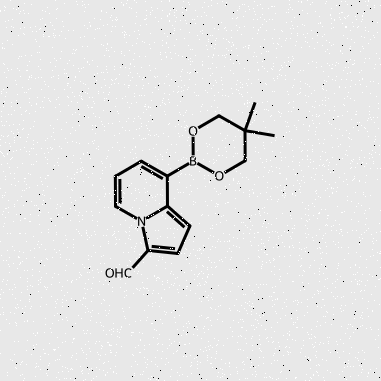 CC1(C)COB(c2cccn3c(C=O)ccc23)OC1